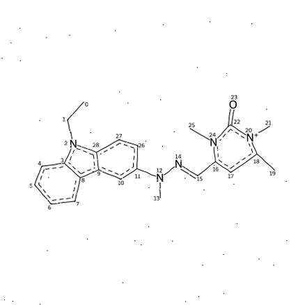 CCn1c2ccccc2c2cc(N(C)N=Cc3cc(C)[n+](C)c(=O)n3C)ccc21